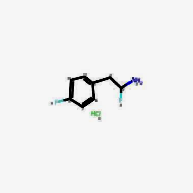 Cl.NC(F)Cc1ccc(F)cc1